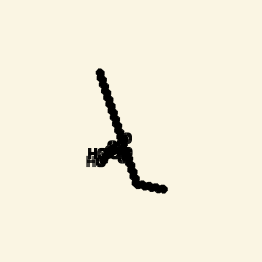 CCCCCCCC/C=C\CCCCCCCC(=O)O[C@H](COC(=O)CCCCCCCCCCCCCCCCCCCCC)COP(=O)(O)OC[C@@H](O)CO